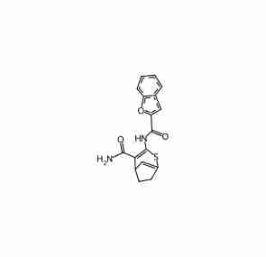 NC(=O)C1=C(NC(=O)c2cc3ccccc3o2)SC2=CC1CC2